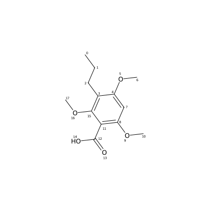 CCCc1c(OC)cc(OC)c(C(=O)O)c1OC